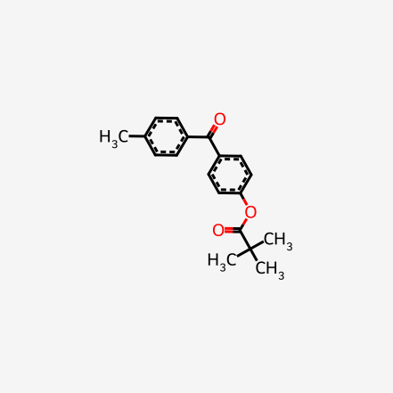 Cc1ccc(C(=O)c2ccc(OC(=O)C(C)(C)C)cc2)cc1